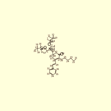 CC(NC(C)O[Si](C)(C)C(C)(C)C)O[Si](C)(C)C(C)(C)C.CCCCCCC1=C(C=Cc2ccccc2)CC(C)(C)CC1=O